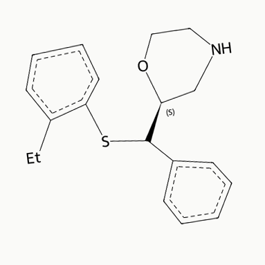 CCc1ccccc1SC(c1ccccc1)[C@@H]1CNCCO1